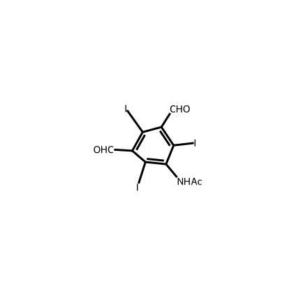 CC(=O)Nc1c(I)c(C=O)c(I)c(C=O)c1I